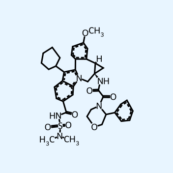 COc1ccc2c(c1)[C@@H]1C[C@]1(NC(=O)C(=O)N1CCOCC1c1ccccc1)Cn1c-2c(C2CCCCC2)c2ccc(C(=O)NS(=O)(=O)N(C)C)cc21